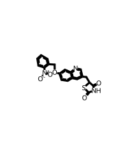 O=C1NC(=O)C(Cc2cnc3cc(OCc4ccccc4[N+](=O)[O-])ccc3c2)S1